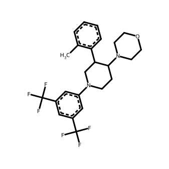 Cc1ccccc1C1CN(c2cc(C(F)(F)F)cc(C(F)(F)F)c2)CCC1N1CCOCC1